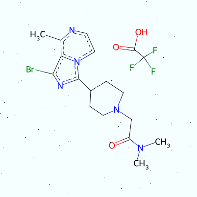 Cc1nccn2c(C3CCN(CC(=O)N(C)C)CC3)nc(Br)c12.O=C(O)C(F)(F)F